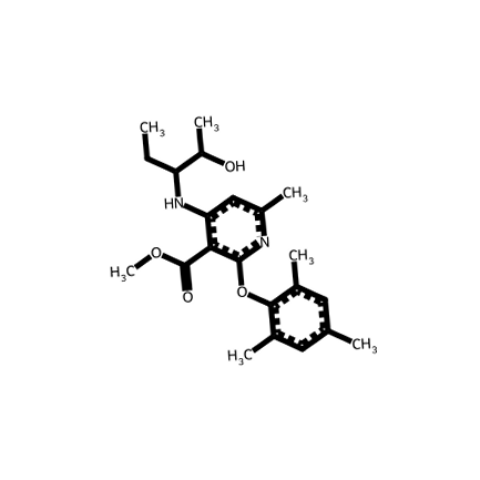 CCC(Nc1cc(C)nc(Oc2c(C)cc(C)cc2C)c1C(=O)OC)C(C)O